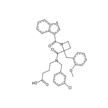 COc1ccccc1CC1(C(=O)N(CCCC(=O)O)Cc2cccc(Cl)c2)CCN1C(=O)c1csc2ccccc12